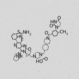 Cc1ccc(C(=O)N2CCC3(CCC(CN4CCN(CC5(COc6nc(N7CC8CCC(C7)N8)c7cnc(-c8cccc9sc(N)nc89)c(F)c7n6)CC5)CC4)CC3)CC2)cc1N1CCC(=O)NC1=O.O=CO